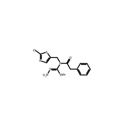 CS/C(=N\[N+](=O)[O-])N(Cc1cnc(Cl)s1)C(=O)Cc1ccccc1